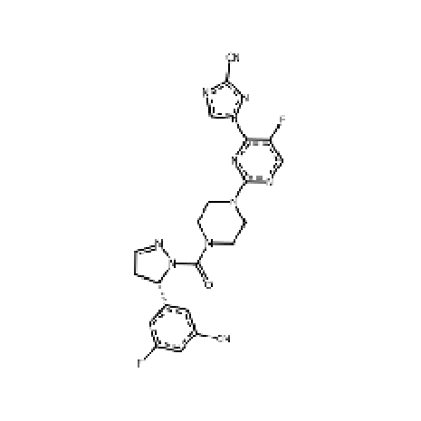 N#Cc1cc(F)cc([C@@H]2CC=NN2C(=O)N2CCN(c3ncc(F)c(-n4cnc(C#N)n4)n3)CC2)c1